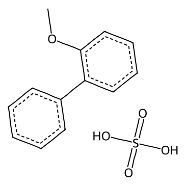 COc1ccccc1-c1ccccc1.O=S(=O)(O)O